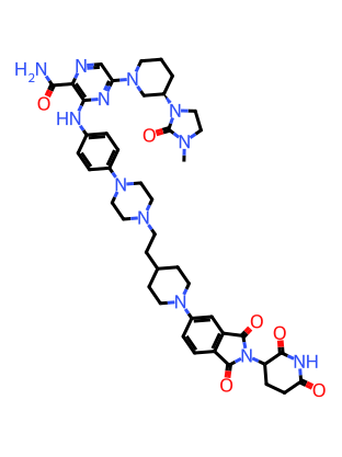 CN1CCN([C@@H]2CCCN(c3cnc(C(N)=O)c(Nc4ccc(N5CCN(CCC6CCN(c7ccc8c(c7)C(=O)N(C7CCC(=O)NC7=O)C8=O)CC6)CC5)cc4)n3)C2)C1=O